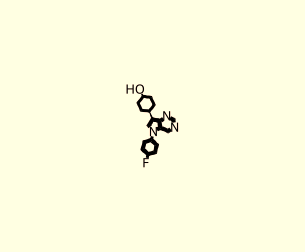 O[C@H]1CC[C@@H](c2cn(-c3ccc(F)cc3)c3cncnc32)CC1